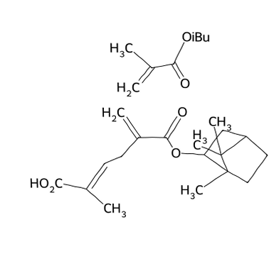 C=C(C)C(=O)OCC(C)C.C=C(CC=C(C)C(=O)O)C(=O)OC1CC2CCC1(C)C2(C)C